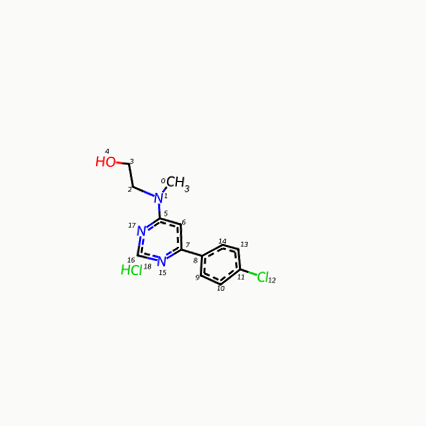 CN(CCO)c1cc(-c2ccc(Cl)cc2)ncn1.Cl